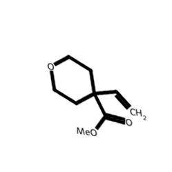 C=CC1(C(=O)OC)CCOCC1